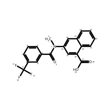 CN(C(=O)c1cccc(C(F)(F)F)c1)c1cc(C(=O)O)c2ccccc2c1